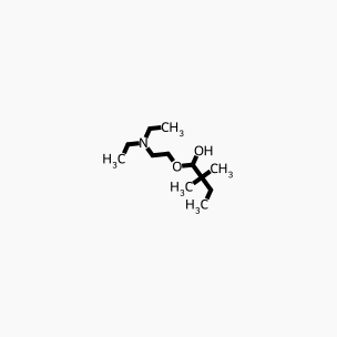 CCN(CC)CCOC(O)C(C)(C)CC